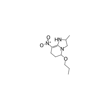 CCCOC1CCC([N+](=O)[O-])=C2NC(C)CN21